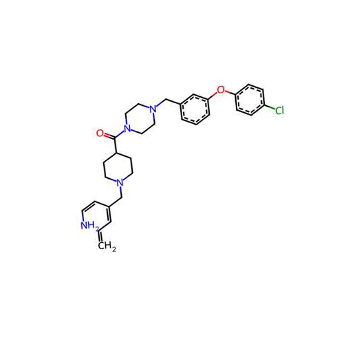 C=C/C=C(\C=C/N)CN1CCC(C(=O)N2CCN(Cc3cccc(Oc4ccc(Cl)cc4)c3)CC2)CC1